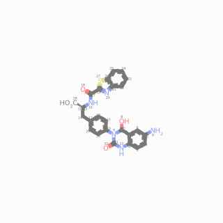 Nc1ccc2c(c1)C(O)N(c1ccc(C[C@H](NC(=O)c3nc4ccccc4s3)C(=O)O)cc1)C(=O)N2